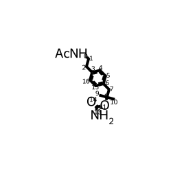 CC(=O)NCCc1ccc(CC(C)(C)OC(N)=O)cc1